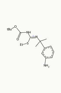 CCS/C(=N\C(C)(C)c1cccc(N)c1)NC(=O)OC(C)(C)C